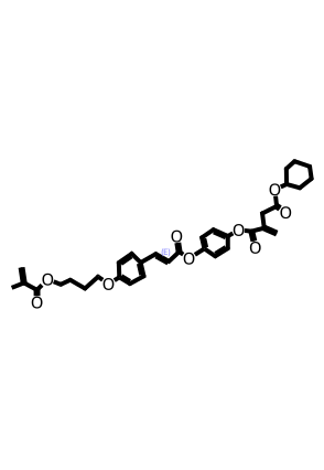 C=C(C)C(=O)OCCCCOc1ccc(/C=C/C(=O)Oc2ccc(OC(=O)C(=C)CC(=O)OC3CCCCC3)cc2)cc1